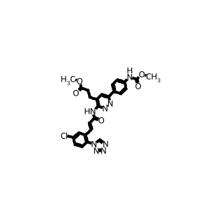 COC(=O)CCc1cc(-c2ccc(NC(=O)OC)cc2)nnc1NC(=O)/C=C/c1cc(Cl)ccc1-n1cnnn1